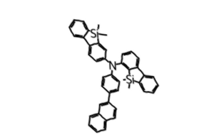 C[Si]1(C)c2ccccc2-c2ccc(N(c3ccc(-c4ccc5ccccc5c4)cc3)c3cccc4c3[Si](C)(C)c3ccccc3-4)cc21